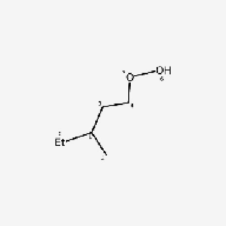 CCC(C)CCOO